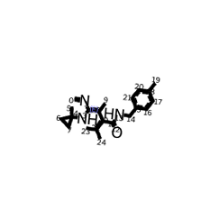 C=N/C(NC1(C)CC1)=C(\C)C(C(=O)NCc1ccc(C)cc1)=C(C)C